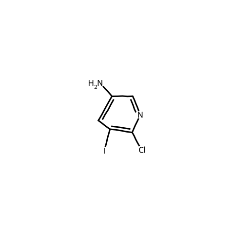 Nc1cnc(Cl)c(I)c1